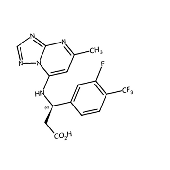 Cc1cc(N[C@H](CC(=O)O)c2ccc(C(F)(F)F)c(F)c2)n2ncnc2n1